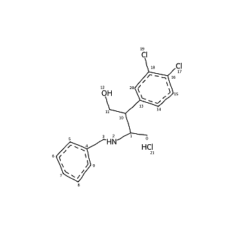 CC(NCc1ccccc1)C(CO)c1ccc(Cl)c(Cl)c1.Cl